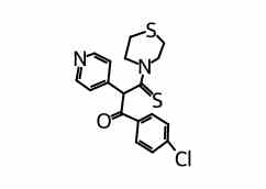 O=C(c1ccc(Cl)cc1)C(C(=S)N1CCSCC1)c1ccncc1